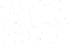 CC(C)(C)OC(=O)NCCNC(=C(C#N)C#N)c1ccco1